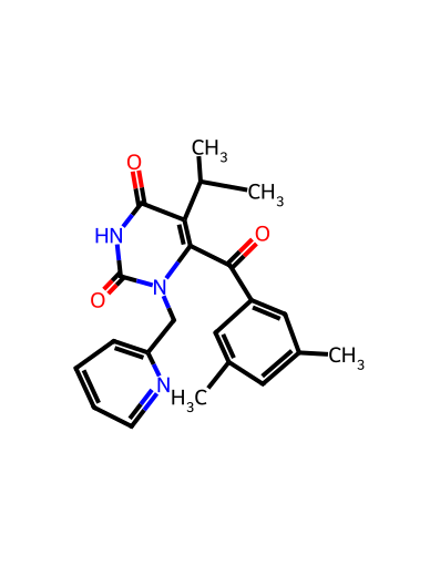 Cc1cc(C)cc(C(=O)c2c(C(C)C)c(=O)[nH]c(=O)n2Cc2ccccn2)c1